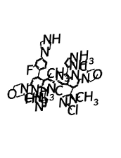 Cc1cnc(-c2ccn[nH]2)c2nc(N3CCOC[C@H]3C)cc(-c3ccc(N4CCNCC4)cc3F)c12.Cc1cnc(-c2ccn[nH]2)c2nc(N3CCOC[C@H]3C)cc(-c3cnc(Cl)n3C)c12